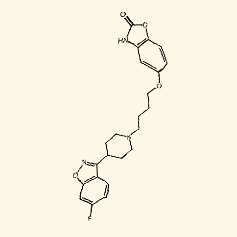 O=c1[nH]c2cc(OCCCCN3CCC(c4noc5cc(F)ccc45)CC3)ccc2o1